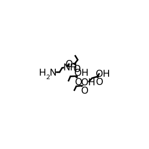 CCC(=O)O.CCC(=O)O.CCC(=O)O.CCC(=O)ONCCN